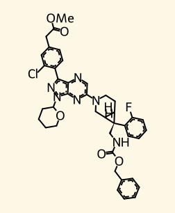 COC(=O)Cc1ccc(-c2nn(C3CCCCO3)c3nc(N4CC[C@@H]5[C@H](C4)[C@@]5(CNC(=O)OCc4ccccc4)c4ccccc4F)cnc23)c(Cl)c1